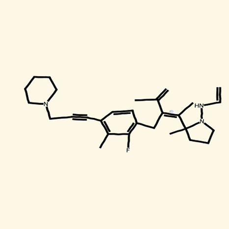 C=CNN1CCCC1(C)/C(C)=C(\Cc1ccc(C#CCN2CCCCC2)c(C)c1F)C(=C)C